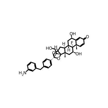 C[C@]12C=CC(=O)C=C1[C@H](O)C[C@H]1[C@@H]3C[C@H]4O[C@@H](c5ccc(Cc6cccc(N)c6)cc5)O[C@@]4(C(=O)CO)[C@@]3(C)C[C@H](O)[C@@]12F